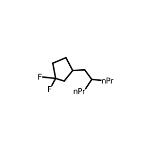 CCCC(CCC)CC1CCC(F)(F)C1